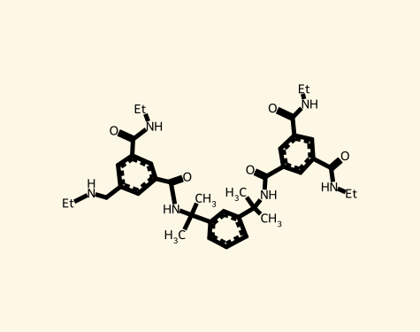 CCNCc1cc(C(=O)NCC)cc(C(=O)NC(C)(C)c2cccc(C(C)(C)NC(=O)c3cc(C(=O)NCC)cc(C(=O)NCC)c3)c2)c1